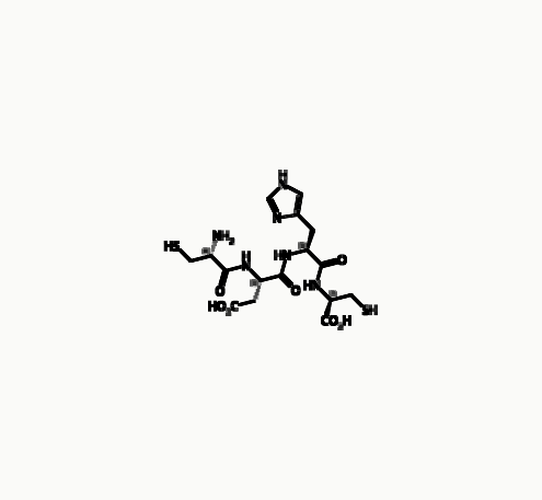 N[C@@H](CS)C(=O)N[C@@H](CC(=O)O)C(=O)N[C@@H](Cc1c[nH]cn1)C(=O)N[C@@H](CS)C(=O)O